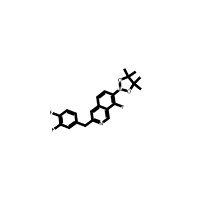 CC1(C)OB(c2ccc3cc(Cc4ccc(F)c(F)c4)ncc3c2F)OC1(C)C